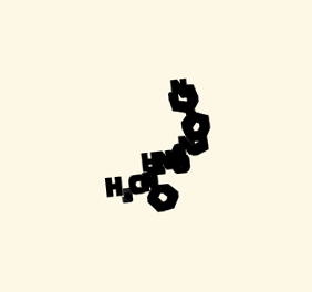 CN(CCNC(=O)Cn1ccc2ccc(-c3ccncc3)cc21)C1CCCCC1